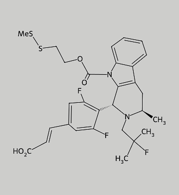 CSSCCOC(=O)n1c2c(c3ccccc31)C[C@@H](C)N(CC(C)(C)F)[C@@H]2c1c(F)cc(/C=C/C(=O)O)cc1F